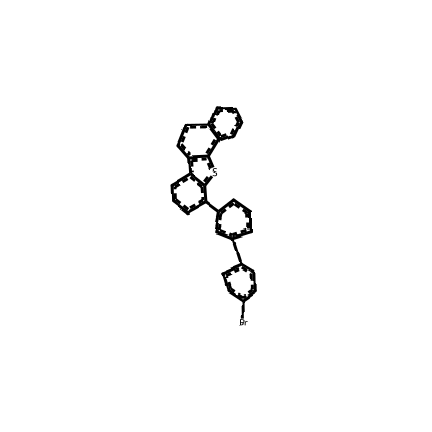 Brc1ccc(-c2cccc(-c3cccc4c3sc3c5ccccc5ccc43)c2)cc1